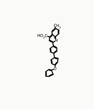 Cc1ccc2nc(-c3ccc(-c4ccc(Oc5ccccc5)cc4)cc3)cc(C(=O)O)c2c1